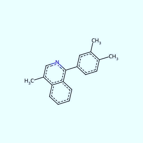 Cc1ccc(-c2ncc(C)c3ccccc23)cc1C